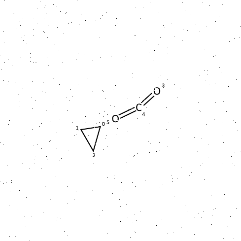 C1CC1.O=C=O